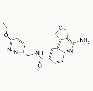 CCOc1ccc(CNC(=O)c2ccc3nc(N)c4c(c3c2)COC4)nn1